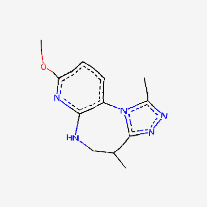 COc1ccc2c(n1)NCC(C)c1nnc(C)n1-2